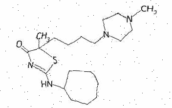 CN1CCN(CCCCC2(C)SC(NC3CCCCCC3)=NC2=O)CC1